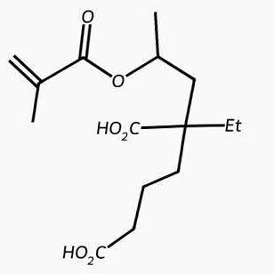 C=C(C)C(=O)OC(C)CC(CC)(CCCC(=O)O)C(=O)O